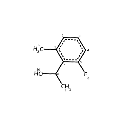 Cc1cccc(F)c1C(C)O